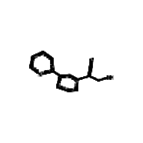 O=C(CS)c1cccc(-c2ccccn2)c1